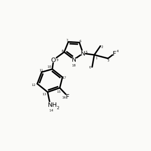 CC(C)(CF)n1ccc(Oc2ccc(N)c(F)c2)n1